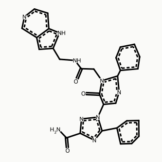 NC(=O)c1nc(-c2ccccc2)n(-c2cnc(-c3ccccc3)n(CC(=O)NCc3cc4cnccc4[nH]3)c2=O)n1